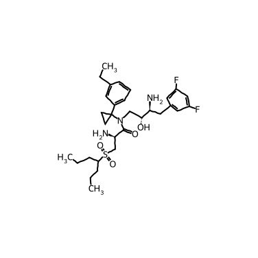 CCCC(CCC)S(=O)(=O)C[C@@H](N)C(=O)N(C[C@@H](O)[C@@H](N)Cc1cc(F)cc(F)c1)C1(c2cccc(CC)c2)CC1